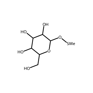 CSOC1OC(CO)C(O)C(O)C1O